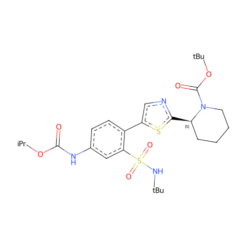 CC(C)OC(=O)Nc1ccc(-c2cnc([C@@H]3CCCCN3C(=O)OC(C)(C)C)s2)c(S(=O)(=O)NC(C)(C)C)c1